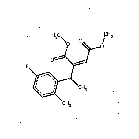 COC(=O)/C=C(\C(=O)OC)N(C)c1cc(F)ccc1C